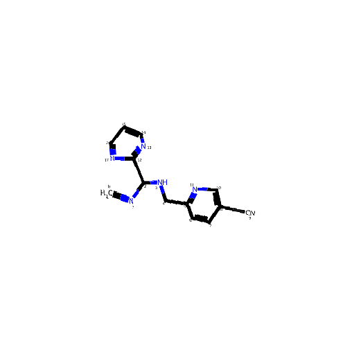 C=NC(NCc1ccc(C#N)cn1)c1ncccn1